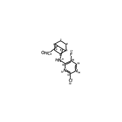 O=CC1C2CCC(CC2)C1Nc1nc(Cl)ncc1F